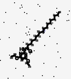 CCCCCCCC/C=C/CCCCCCCC(=O)Nc1nc(OCC)cc(OCC)n1